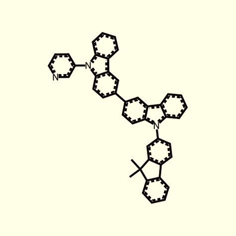 CC1(C)c2ccccc2-c2ccc(-n3c4ccccc4c4cc(-c5ccc6c(c5)c5ccccc5n6-c5cccnc5)ccc43)cc21